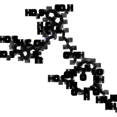 CC[N+]1=C(/C=C/C=C/C=C2/N(CCCCCC(=O)NC[C@@H]3CC4CCC5C(=O)NC(CCCNC(=N)N)C(=O)NCC(=O)NC(CC(=O)O)C(=O)N[C@H]3C(=O)N45)c3ccc4c(S(=O)(=O)O)cc(S(=O)(=O)O)cc4c3C2(C)C)C(C)(C)c2c1ccc1c(S(=O)(=O)O)cc(S(=O)(=O)O)cc21